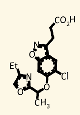 CCc1coc(C(C)Oc2cc3onc(CCC(=O)O)c3cc2Cl)n1